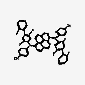 [C-]#[N+]c1ccc(N(c2cc(F)c(-c3ccccc3C)cc2F)c2ccc3ccc4c(N(c5ccc(C#N)cc5)c5cc(F)c(-c6ccccc6C)cc5F)ccc5ccc2c3c54)cc1